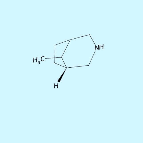 CC1C2CC[C@H]1CNC2